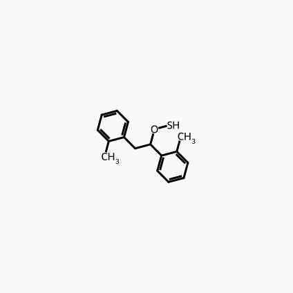 Cc1ccccc1CC(OS)c1ccccc1C